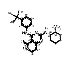 N[C@H]1CCCC[C@@H]1Nc1nc(Nc2cccc(C(F)(F)F)c2)c2c(=O)[nH]ccc2n1